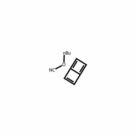 CCCCOC#N.c1cc2ccc1-2